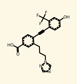 O=C(O)c1ccc(C#Cc2ccc(O)cc2C(F)(F)F)c(CCCn2cncn2)c1